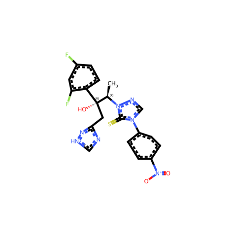 C[C@@H](n1ncn(-c2ccc([N+](=O)[O-])cc2)c1=S)[C@@](O)(Cc1nc[nH]n1)c1ccc(F)cc1F